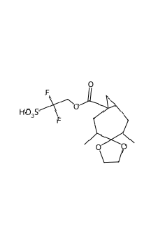 CC1CC2CC2(C(=O)OCC(F)(F)S(=O)(=O)O)CC(C)C12OCCO2